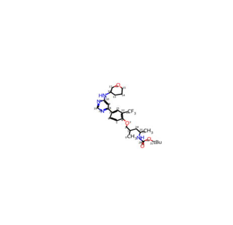 CC(COc1ccc(-c2cc(NC3CCCOC3)ncn2)cc1C(F)(F)F)CC(C)NC(=O)OC(C)(C)C